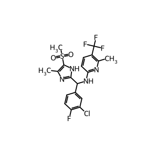 Cc1nc(NC(c2ccc(F)c(Cl)c2)c2nc(C)c(S(C)(=O)=O)[nH]2)ccc1C(F)(F)F